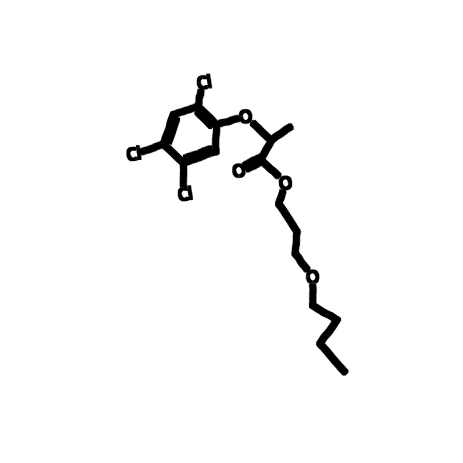 CCCCOCCCOC(=O)C(C)Oc1cc(Cl)c(Cl)cc1Cl